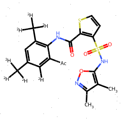 [2H]c1c(C([2H])([2H])[2H])cc(C([2H])([2H])[2H])c(NC(=O)c2sccc2S(=O)(=O)Nc2onc(C)c2C)c1C(C)=O